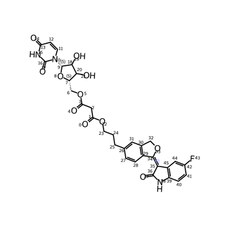 O=C(CC(=O)OC[C@@H]1O[C@H](n2ccc(=O)[nH]c2=O)C(O)C1O)OCCCc1ccc2c(c1)CO/C2=C1/C(=O)Nc2ccc(F)cc21